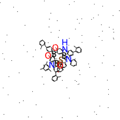 Cc1cc(C)c(N2c3cc4c(cc3B3c5sc6ccccc6c5Oc5cc(-c6ccccc6C)cc2c53)B2c3cc5c(cc3Oc3cc(-c6ccccc6C)cc(c32)O4)Nc2cc(-c3ccccc3C)cc3c2B5c2sc4ccccc4c2N3c2ccccc2)c(C)c1